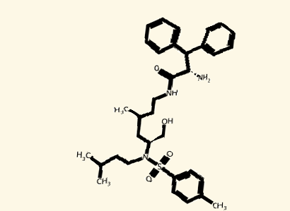 Cc1ccc(S(=O)(=O)N(CCC(C)C)[C@H](CO)CC(C)CCNC(=O)[C@@H](N)C(c2ccccc2)c2ccccc2)cc1